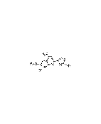 COc1cc2c(C)cc(-c3csc(C(C)C)n3)nc2cc1Cl